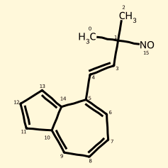 CC(C)(C=Cc1ccccc2cccc1-2)N=O